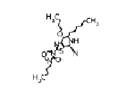 CCCCCCC1NC(C#N)c2sc(N3COCN(CCCC)C3=O)nc2C1OCCCC